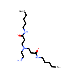 CCCCCCCCCCCCCCNC(=O)CCN(CCN)CCC(=O)NCCCCCCCCCCCCCC